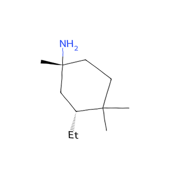 CC[C@@H]1C[C@](C)(N)CCC1(C)C